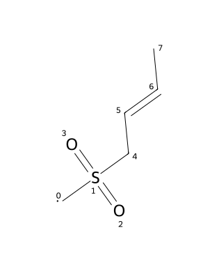 [CH2]S(=O)(=O)CC=CC